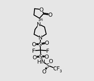 O=C1OCC[C@H]1N1CCN(S(=O)(=O)C(F)(F)S(=O)(=O)NS(=O)(=O)C(F)(F)F)CC1